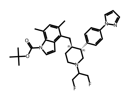 Cc1cc(C)c2c(ccn2C(=O)OC(C)(C)C)c1C[C@@H]1CCN(C(CF)CF)C[C@H]1c1ccc(-n2cccn2)cc1